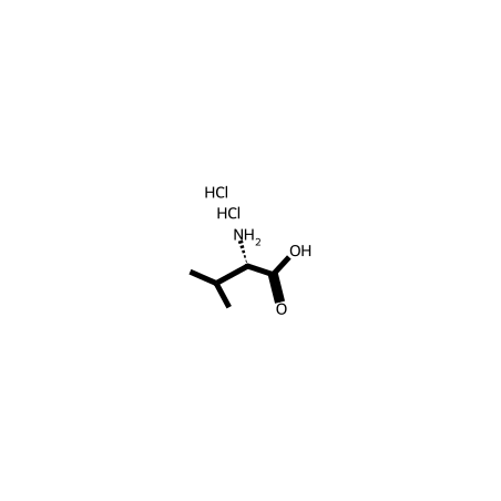 CC(C)[C@H](N)C(=O)O.Cl.Cl